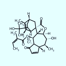 C/C=C(/C)C(=O)O[C@H]1[C@H]2[C@@H](OC(=O)[C@]23C[C@@H]2C[C@@H](C(C)(C)O)[C@H]3C=C2C)[C@H](O)[C@@H](C)[C@@H]2C=CC(=O)[C@]21C